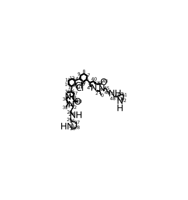 Cc1cn2cc(-c3cccc(-c4cccc(-c5cc6c(=O)n(CCNCC7CCCN7)c(C)cn6c5)c4Cl)c3Cl)cc2c(=O)n1CCNCC1CCCN1